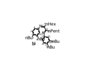 CCCCCCC(=Nc1ccc(CCCC)c(CCCC)c1)C(CCCCC)=Nc1ccc(CCCC)c(CCCC)c1.[Ni]